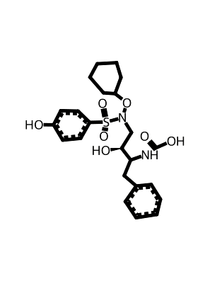 O=C(O)NC(Cc1ccccc1)[C@@H](O)CN(OC1CCCCC1)S(=O)(=O)c1ccc(O)cc1